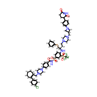 O=C1CCC(c2ccc(N3CC(CN4CCN(CC[C@H](CSc5ccccc5)Nc5ccc(S(=O)(=O)NC(=O)c6ccc(N7CCN(CC8=C(c9ccc(Cl)cc9)CCCCC8)CC7)cc6)cc5S(=O)(=O)C(F)(F)F)CC4)C3)cc2)C(=O)N1